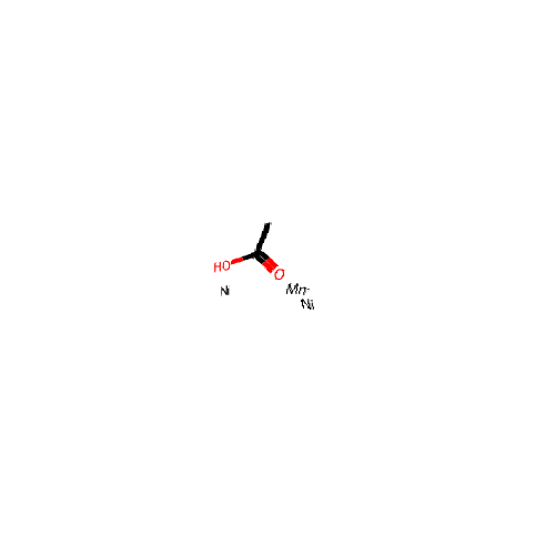 CC(=O)O.[Mn].[Ni].[Ni]